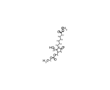 CCOC(=O)OCC1CC(=O)C(CCCCCCC(=O)OC)C1CO